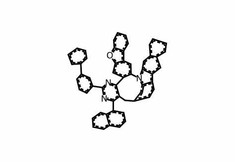 c1ccc(-c2cccc(-c3nc4c(c(-c5cccc6ccccc56)n3)Cc3ccc5c6cc7ccccc7cc6n(c5c3)-c3cc5c(cc3-4)oc3ccccc35)c2)cc1